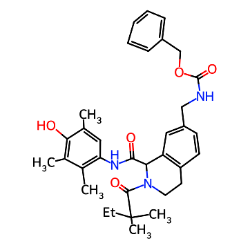 CCC(C)(C)C(=O)N1CCc2ccc(CNC(=O)OCc3ccccc3)cc2C1C(=O)Nc1cc(C)c(O)c(C)c1C